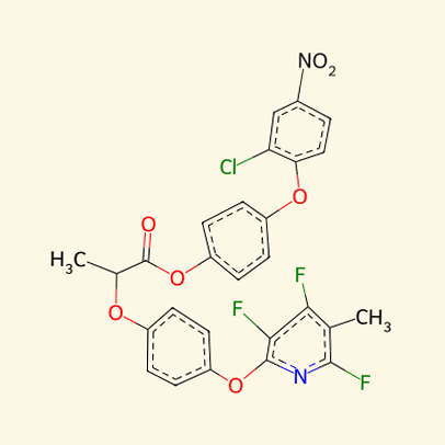 Cc1c(F)nc(Oc2ccc(OC(C)C(=O)Oc3ccc(Oc4ccc([N+](=O)[O-])cc4Cl)cc3)cc2)c(F)c1F